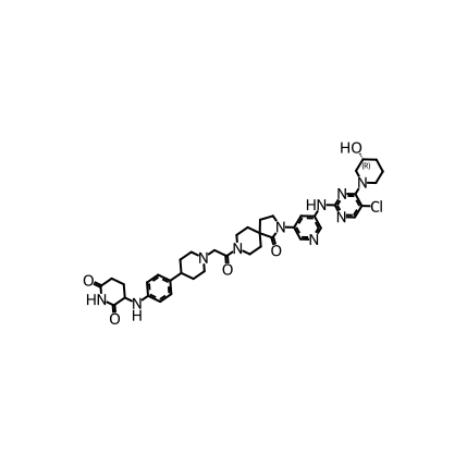 O=C1CCC(Nc2ccc(C3CCN(CC(=O)N4CCC5(CC4)CCN(c4cncc(Nc6ncc(Cl)c(N7CCC[C@@H](O)C7)n6)c4)C5=O)CC3)cc2)C(=O)N1